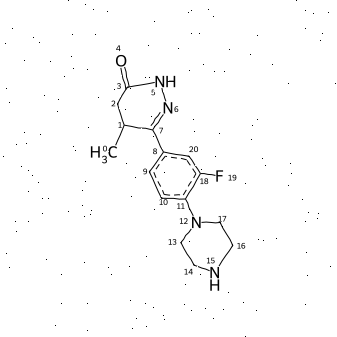 CC1CC(=O)NN=C1c1ccc(N2CCNCC2)c(F)c1